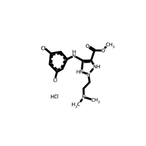 COC(=O)C1=C(Nc2cc(Cl)cc(Cl)c2)NN(CCN(C)C)N1.Cl